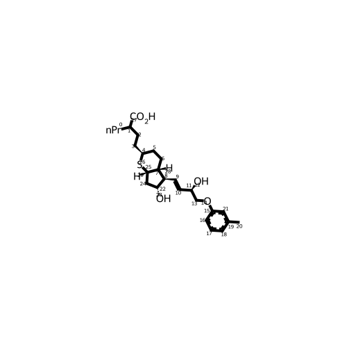 CCCC(CC[C@H]1CC[C@@H]2[C@@H](C=C[C@@H](O)COc3cccc(C)c3)[C@H](O)C[C@@H]2S1)C(=O)O